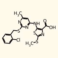 CSc1nc(C(=O)O)c(Nc2cc(C)nc(SCc3ccccc3Cl)n2)s1